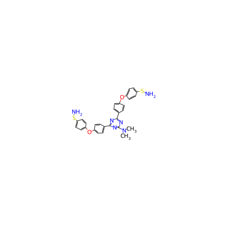 CN(C)c1nc(-c2ccc(Oc3ccc(SN)cc3)cc2)nc(-c2ccc(Oc3ccc(SN)cc3)cc2)n1